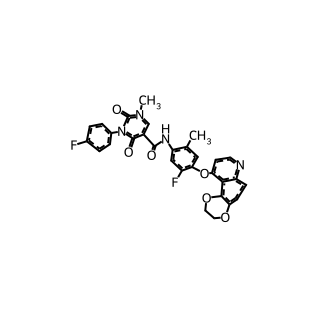 Cc1cc(Oc2ccnc3ccc4c(c23)OCCO4)c(F)cc1NC(=O)c1cn(C)c(=O)n(-c2ccc(F)cc2)c1=O